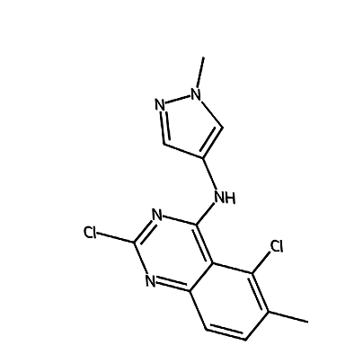 Cc1ccc2nc(Cl)nc(Nc3cnn(C)c3)c2c1Cl